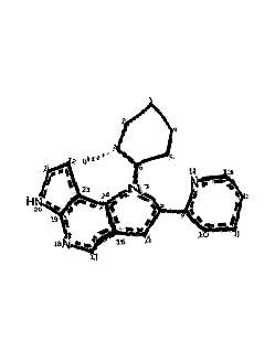 C[C@@H]1CCCCC1n1c(-c2ccccn2)cc2cnc3[nH]ccc3c21